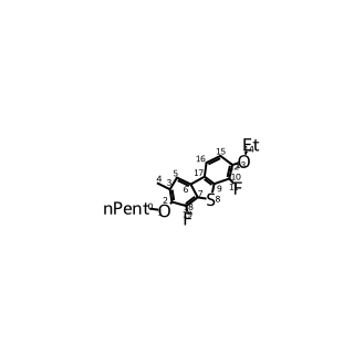 CCCCCOc1c(C)cc2c(sc3c(F)c(OCC)ccc32)c1F